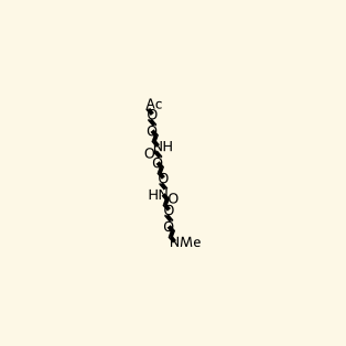 CNCCOCCOCC(=O)NCCOCCOCC(=O)NCCOCCOCC(C)=O